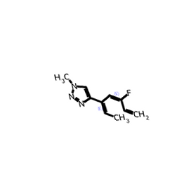 C=C/C(F)=C\C(=C/C)c1cn(C)nn1